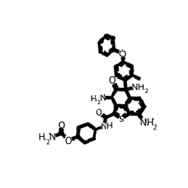 Cc1cc(Oc2ccccc2)ccc1C1(N)C(=O)C(N)c2c(C(=O)NC3CCC(OC(N)=O)CC3)sc3c(N)ccc1c23